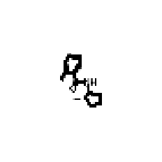 Cc1ccccc1C(=O)N[C@H]1CCC[C@H]1C